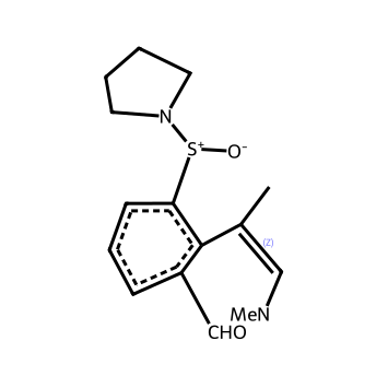 CN/C=C(/C)c1c(C=O)cccc1[S+]([O-])N1CCCC1